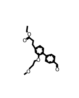 CCOC(=O)CCc1ccc(-c2ccc(C=O)cc2)c(OCCCOC)c1